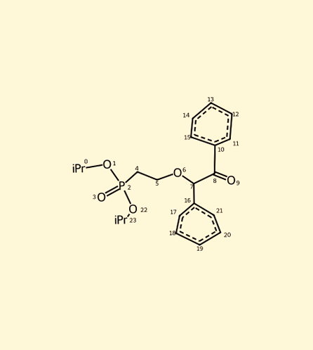 CC(C)OP(=O)(CCOC(C(=O)c1ccccc1)c1ccccc1)OC(C)C